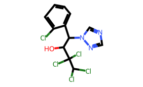 OC(C(c1ccccc1Cl)n1cncn1)C(Cl)(Cl)C(Cl)Cl